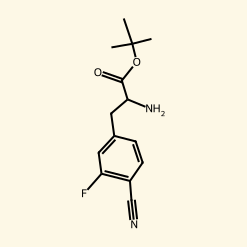 CC(C)(C)OC(=O)C(N)Cc1ccc(C#N)c(F)c1